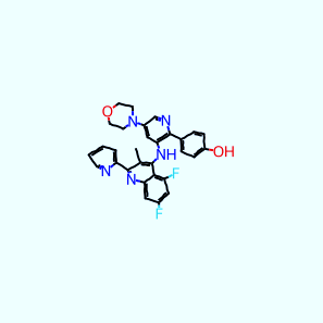 Cc1c(-c2ccccn2)nc2cc(F)cc(F)c2c1Nc1cc(N2CCOCC2)cnc1-c1ccc(O)cc1